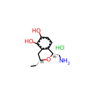 CC[C@@H]1Cc2c(ccc(O)c2O)[C@H](CN)O1.Cl